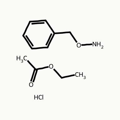 CCOC(C)=O.Cl.NOCc1ccccc1